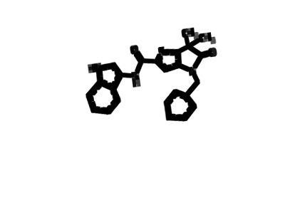 CC1(C)C(=O)N(Cc2ccccc2)c2cc(C(=O)Nc3c[nH]c4ccccc34)sc21